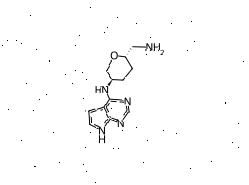 NC[C@@H]1CC[C@@H](Nc2ncnc3[nH]c[c]c23)CO1